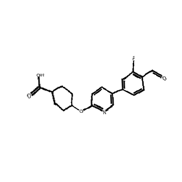 O=Cc1ccc(-c2ccc(OC3CCC(C(=O)O)CC3)nc2)cc1F